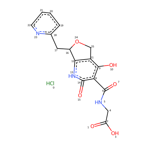 Cl.O=C(O)CNC(=O)c1c(O)c2c([nH]c1=O)C(Cc1ccccn1)OC2